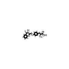 COC(Cc1ccc(OCC(=O)N[C@H](C)c2ccccc2)cc1)C(=O)O